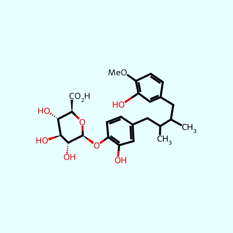 COc1ccc(CC(C)C(C)Cc2ccc(O[C@@H]3O[C@H](C(=O)O)[C@@H](O)[C@H](O)[C@H]3O)c(O)c2)cc1O